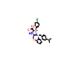 CC(C)c1ccc(CN2C(=O)C(N[C@@H](Cc3ccc(F)cc3)C(=O)O)COc3ccccc32)cc1